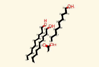 CC(=O)O.CCCCCCCCCCO.CCCCCCCCCCO.CCCCCCCCCCO